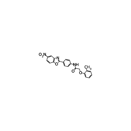 Cc1ccccc1OCC(=O)Nc1ccc(-c2nc3cc([N+](=O)[O-])ccc3o2)cc1